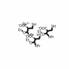 CCCC(OCC)C(CS)C(=O)[O-].CCCC(OCC)C(CS)C(=O)[O-].CCCC(OCC)C(CS)C(=O)[O-].[Sb+3]